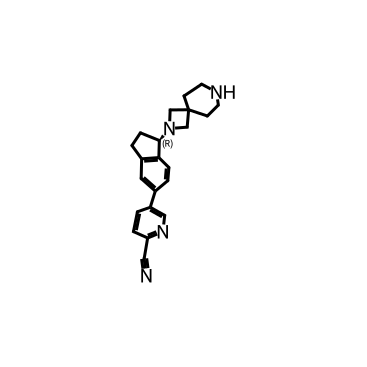 N#Cc1ccc(-c2ccc3c(c2)CC[C@H]3N2CC3(CCNCC3)C2)cn1